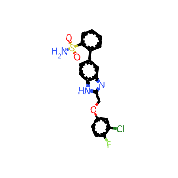 NS(=O)(=O)c1ccccc1-c1ccc2[nH]c(COc3ccc(F)c(Cl)c3)nc2c1